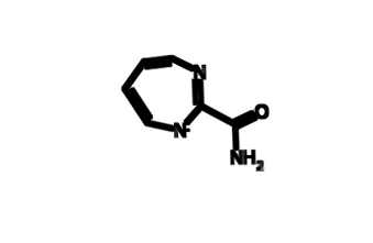 NC(=O)C1=NC=CC=C[N]1